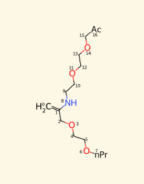 C=C(COCCOCCC)NCCOCCOCC(C)=O